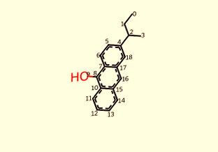 CCC(C)c1ccc2c(O)c3ccccc3cc2c1